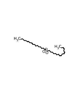 CC/C=C\C/C=C\C/C=C\CCCCCCCC(=O)OC(=O)CCCCCCC/C=C/C/C=C/CCCCC